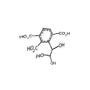 O=C(O)c1ccc(C(=O)O)c(C(O)C(O)O)c1C(=O)O